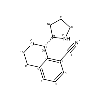 N#Cc1cccc2c1[C@@H](C1CCCN1)OCC2